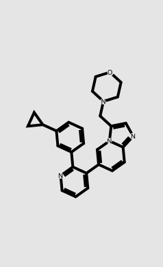 c1cc(-c2ncccc2-c2ccc3ncc(CN4CCOCC4)n3c2)cc(C2CC2)c1